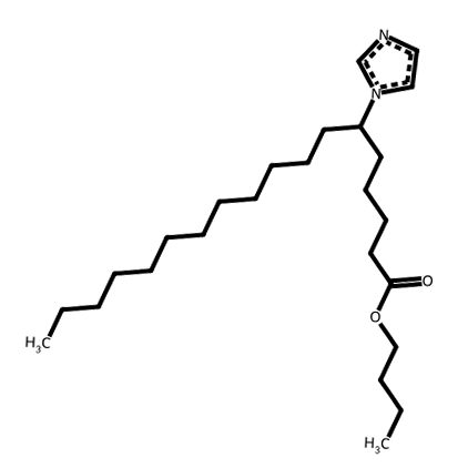 CCCCCCCCCCCCC(CCCCC(=O)OCCCC)n1ccnc1